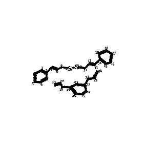 C(=Cc1ccccc1)CSSCC=Cc1ccccc1.C=CCc1cccc(CC=C)c1